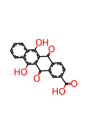 O=C(O)c1ccc2c(c1)C(=O)c1c(c(O)c3ccccc3c1O)C2=O